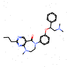 CCCc1ncc2c(n1)N(C)CCN(c1cccc(OC(CN(C)C)c3ccccc3)c1)C2=O